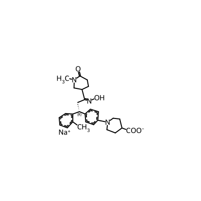 Cc1ccccc1[C@H](CC(=NO)C1CCC(=O)N(C)C1)c1ccc(N2CCC(C(=O)[O-])CC2)cc1.[Na+]